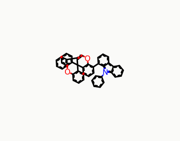 c1ccc(-c2cccc3c2C2(c4ccccc4Oc4ccccc42)c2cccc(-c4cccc5c6ccccc6n(-c6ccccc6)c45)c2O3)cc1